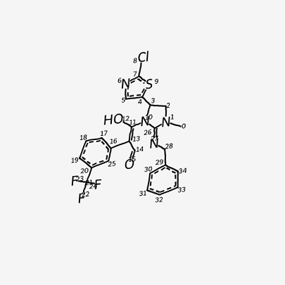 CN1CC(c2cnc(Cl)s2)N(/C(O)=C(\C=O)c2cccc(C(F)(F)F)c2)/C1=N/Cc1ccccc1